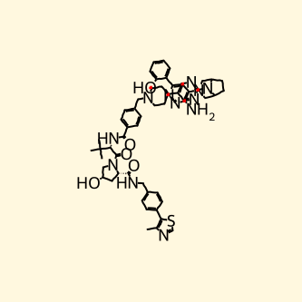 Cc1ncsc1-c1ccc(CNC(=O)[C@@H]2C[C@@H](O)CN2C(=O)[C@@H](NC(=O)c2ccc(CN3CCC(c4cnc(N5C6CCC5CN(c5cc(-c7ccccc7O)nnc5N)C6)nc4)CC3)cc2)C(C)(C)C)cc1